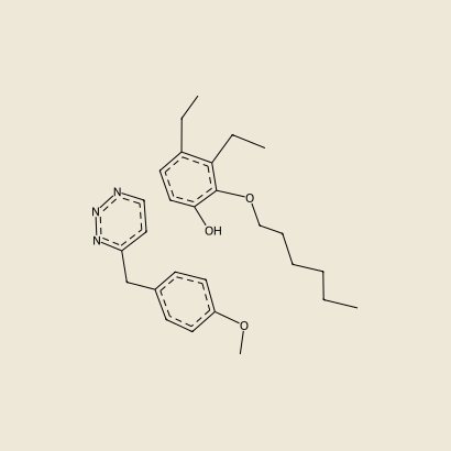 CCCCCCOc1c(O)ccc(CC)c1CC.COc1ccc(Cc2ccnnn2)cc1